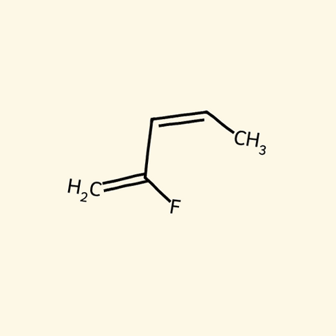 C=C(F)/C=C\C